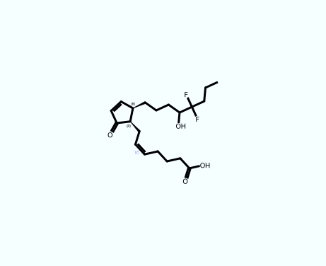 CCCC(F)(F)C(O)CCC[C@@H]1C=CC(=O)[C@@H]1C/C=C\CCCC(=O)O